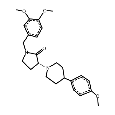 COc1ccc(C2CCN([C@@H]3CCN(Cc4ccc(OC)c(OC)c4)C3=O)CC2)cc1